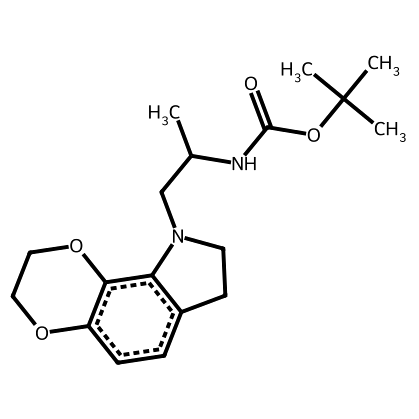 CC(CN1CCc2ccc3c(c21)OCCO3)NC(=O)OC(C)(C)C